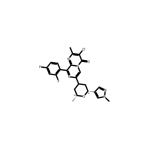 Cc1nc2c(-c3ccc(F)cc3F)nc(C3C[C@@H](C)O[C@@H](c4cnn(C)c4)C3)cn2c(=O)c1Cl